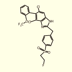 O=S(=O)(CCF)c1ccc(Cc2nc3c(Cl)c(-c4ccccc4OC(F)(F)F)c(Cl)cc3[nH]2)cc1